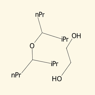 CCCC(OC(CCC)C(C)C)C(C)C.OCCO